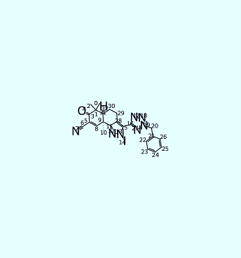 CC1(C)C(=O)C(C#N)=C[C@]2(C)c3nn(I)c(-c4nnn(Cc5ccccc5)n4)c3CC[C@@H]12